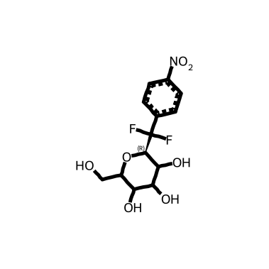 O=[N+]([O-])c1ccc(C(F)(F)[C@@H]2OC(CO)C(O)C(O)C2O)cc1